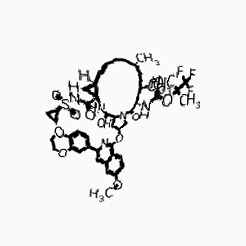 COc1ccc2c(OC3C[C@H]4C(=O)N[C@]5(C(=O)NS(=O)(=O)C6CC6)C[C@H]5/C=C\CC[C@H](C)C[C@@H](C)[C@H](NC(=O)OC(C)(C)C(F)(F)F)C(=O)N4C3)nc(-c3ccc4c(c3)OCCO4)cc2c1